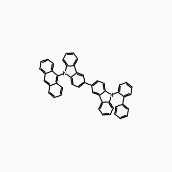 c1ccc(-c2ccccc2-n2c3ccccc3c3cc(-c4ccc5c(c4)c4ccccc4n5-c4c5ccccc5cc5ccccc45)ccc32)cc1